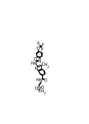 Cn1c(Nc2nc3ccc(OC(F)(F)F)cc3o2)nc2cc(C(=O)NCCS(C)(=O)=O)ccc21